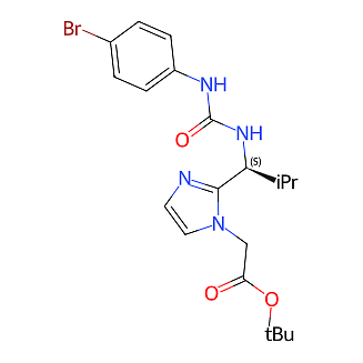 CC(C)[C@H](NC(=O)Nc1ccc(Br)cc1)c1nccn1CC(=O)OC(C)(C)C